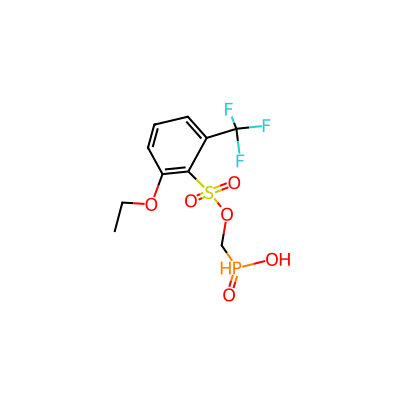 CCOc1cccc(C(F)(F)F)c1S(=O)(=O)OC[PH](=O)O